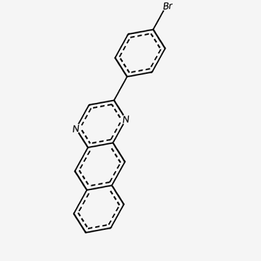 Brc1ccc(-c2cnc3cc4ccccc4cc3n2)cc1